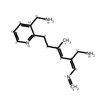 C=N/C=C(\C=C(/C)CCc1ncccc1CN)CN